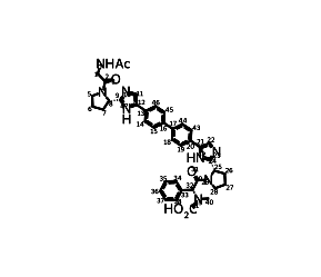 CC(=O)NCC(=O)N1CCC[C@H]1c1ncc(-c2ccc(-c3ccc(-c4cnc([C@@H]5CCCN5C(=O)[C@@H](c5ccccc5)N(C)C(=O)O)[nH]4)cc3)cc2)[nH]1